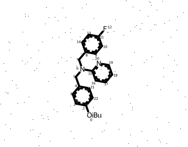 CC(C)COc1ccc(CN(Cc2ccc(F)cc2)c2ccccn2)cc1